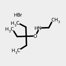 Br.CCNOC(CC)(CC)CC